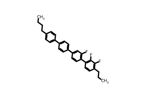 CCCCc1ccc(-c2ccc(-c3ccc(-c4ccc(CCC)c(F)c4F)c(F)c3)cc2)cc1